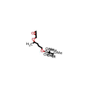 CCC(OC)C(OC)(OC)[Si](OC)(OC)OCCCC(C)OCC1CO1